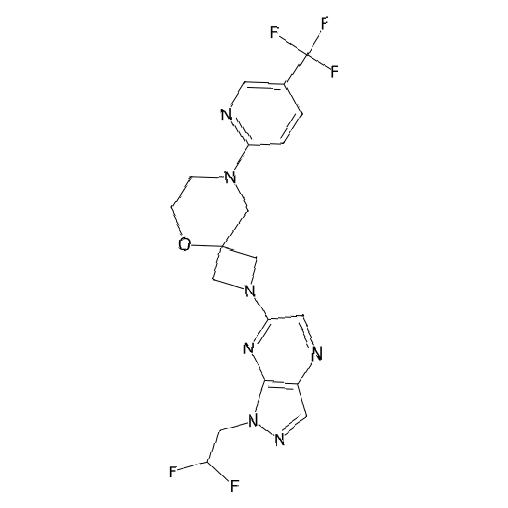 FC(F)Cn1ncc2ncc(N3CC4(CN(c5ccc(C(F)(F)F)cn5)CCO4)C3)nc21